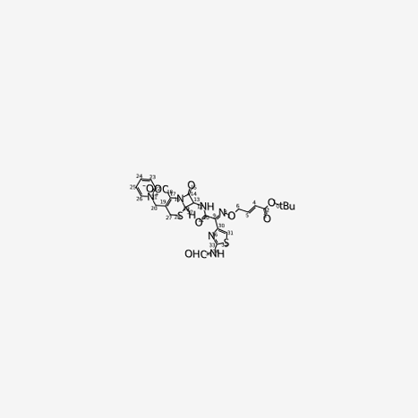 CC(C)(C)OC(=O)C=CCON=C(C(=O)NC1C(=O)N2C(C(=O)[O-])=C(C[n+]3ccccc3)CS[C@@H]12)c1csc(NC=O)n1